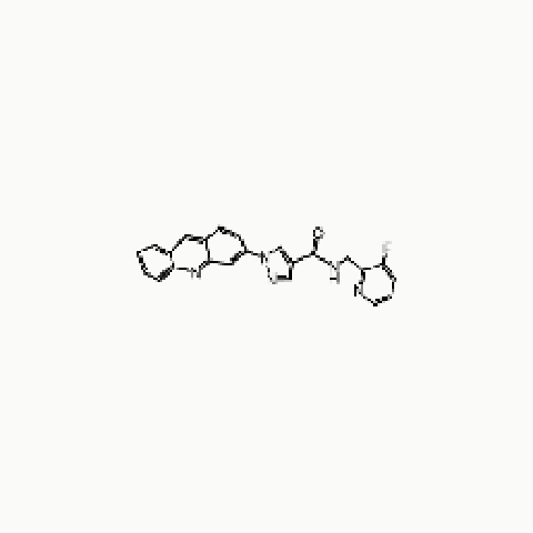 O=C(NCc1ncccc1F)c1cnn(-c2ccc3cc4ccccc4nc3c2)c1